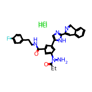 CCC(=O)N(N)c1cc(C(=O)NCCc2ccc(F)cc2)cc(-c2cnc(-c3cc4ccccc4cn3)[nH]2)c1.Cl.Cl